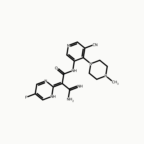 CN1CCN(c2c(C#N)cncc2NC(=O)/C(C(=N)N)=C2\N=CC(F)=CN2)CC1